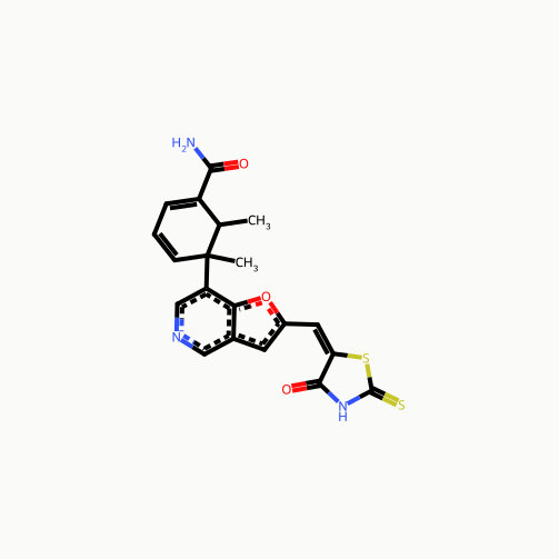 CC1C(C(N)=O)=CC=CC1(C)c1cncc2cc(/C=C3/SC(=S)NC3=O)oc12